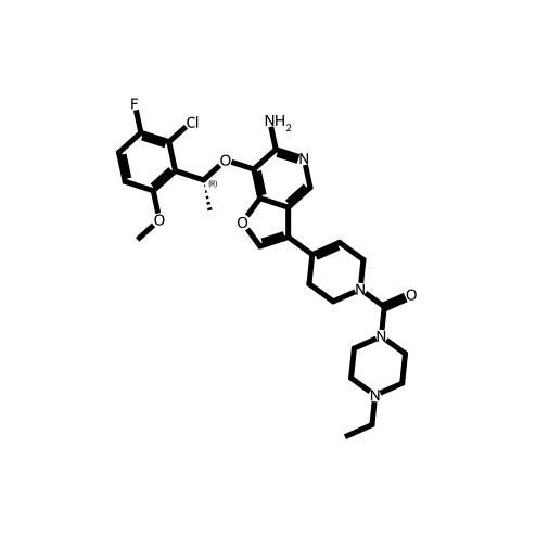 CCN1CCN(C(=O)N2CC=C(c3coc4c(O[C@H](C)c5c(OC)ccc(F)c5Cl)c(N)ncc34)CC2)CC1